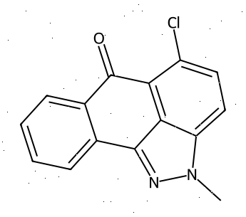 Cn1nc2c3c(c(Cl)ccc31)C(=O)c1ccccc1-2